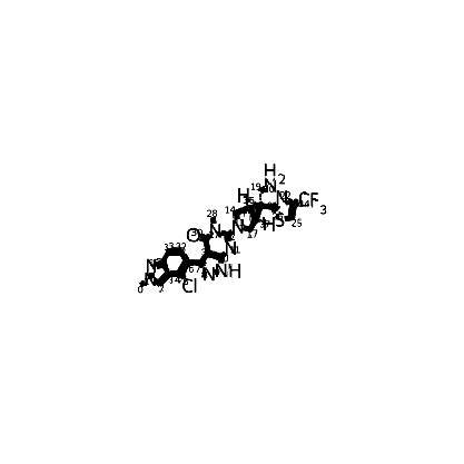 Cn1cc2c(Cl)c(-c3n[nH]c4nc(N5C[C@@H]6[C@H](C5)[C@]6(CN)c5nc(C(F)(F)F)cs5)n(C)c(=O)c34)ccc2n1